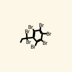 CCC(Br)(Br)c1c(Br)c(Br)c(Br)c(Br)c1Br